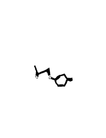 C=C1C=CC(OCC(C)=O)=CC1